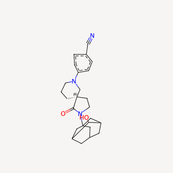 N#Cc1ccc(N2CCC[C@@]3(CCN(C45CC6CC(C4)C(O)C(C6)C5)C3=O)C2)cc1